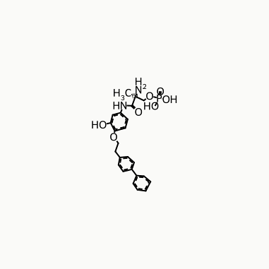 C[C@](N)(COP(=O)(O)O)C(=O)Nc1ccc(OCCc2ccc(-c3ccccc3)cc2)c(O)c1